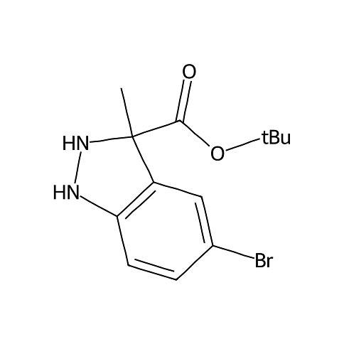 CC(C)(C)OC(=O)C1(C)NNc2ccc(Br)cc21